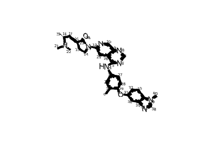 Cc1cc(Nc2ncnc3cnc(N4CC/C(=C\[C@@H](C)N(C)C)C4=O)cc23)ccc1Oc1ccc2c(c1)ncn2C